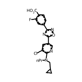 CCCN(CC1CC1)c1ncc(-c2nc(-c3ccc(C(=O)O)c(F)c3)no2)cc1Cl